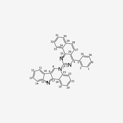 c1ccc(-c2nc(-n3cc4c5ccccc5nc-4c4ccccc43)nc3c2ccc2ccccc23)cc1